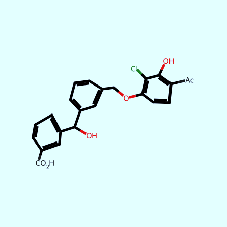 CC(=O)c1ccc(OCc2cccc(C(O)c3cccc(C(=O)O)c3)c2)c(Cl)c1O